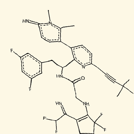 Cc1c(-c2ccc(C#CC(C)(C)O)nc2C(Cc2cc(F)cc(F)c2)NC(=O)CNC2=C(C(=N)C(F)F)CCC2(F)F)ccc(=N)n1C